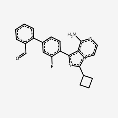 Nc1nccn2c(C3CCC3)nc(-c3ccc(-c4ccccc4C=O)cc3F)c12